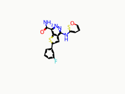 NC(=O)c1nnc(NC2=CC=COS2)c2cc(-c3cccc(F)c3)sc12